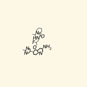 Cc1ncc(-c2ccc3ncc(N)cc3c2OCC(F)CNC(=O)[C@@H]2CCCCN2C(C)C)cn1